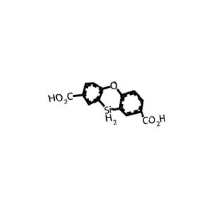 O=C(O)c1ccc2c(c1)[SiH2]c1cc(C(=O)O)ccc1O2